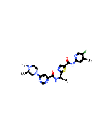 CC(NC(=O)c1cc(N2CCN(C)C(C)C2)ncn1)c1ncc(C(=O)Nc2cc(C(F)(F)F)c(Cl)cn2)s1